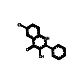 O=c1c(O)c(-c2ccccc2)[nH]c2ccc(Cl)cc12